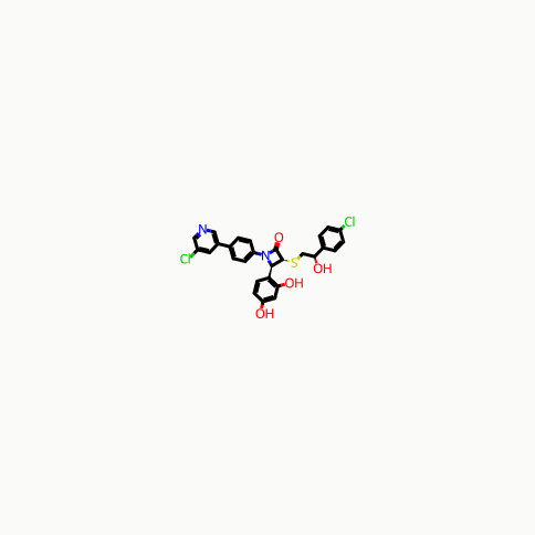 O=C1[C@H](SC[C@H](O)c2ccc(Cl)cc2)[C@@H](c2ccc(O)cc2O)N1c1ccc(-c2cncc(Cl)c2)cc1